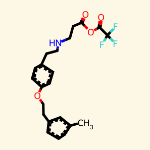 Cc1cccc(CCOc2ccc(CCNCCC(=O)OC(=O)C(F)(F)F)cc2)c1